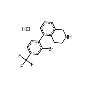 Cl.FC(F)(F)c1ccc(-c2cccc3c2CCNC3)c(Br)c1